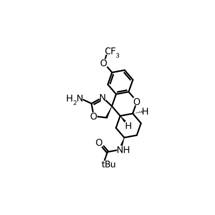 CC(C)(C)C(=O)N[C@@H]1CC[C@@H]2Oc3ccc(OC(F)(F)F)cc3[C@]3(COC(N)=N3)[C@H]2C1